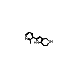 Cc1ncccc1-c1cc2c([nH]1)CCNC2